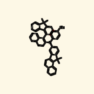 CC(C)(C)c1ccc(N(c2ccc3c(c2)-c2ccc4ccccc4c2C3(C)C)c2ccc3ccccc3c2-c2cccc3c2-c2ccccc2C3(C)C)cc1